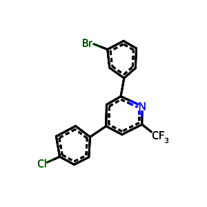 FC(F)(F)c1cc(-c2ccc(Cl)cc2)cc(-c2cccc(Br)c2)n1